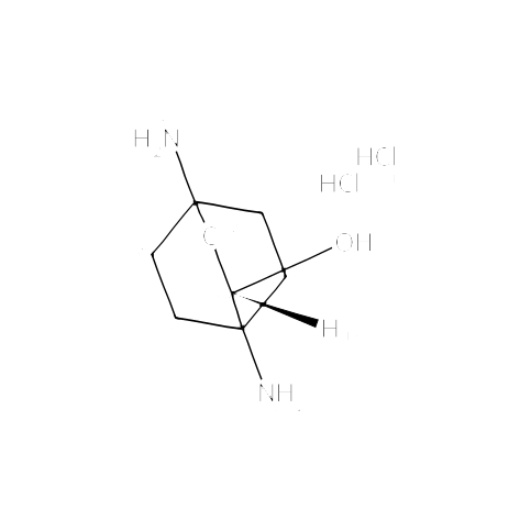 Cl.Cl.NC12CCC(N)(CC1)[C@@H](O)C2